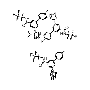 CC(C)(NC(=O)c1cc(-c2ccc(F)cc2)cc(-n2cnnn2)c1)C(F)(F)F.Cc1ccc(-c2cc(C(=O)NC(C)(C)C(F)(F)F)cc(-n3cnnn3)c2)cc1.Cc1ccc(-c2cc(C(=O)NC(C)(C)C(F)(F)F)cc(-n3nnnc3C(C)C)c2)cc1